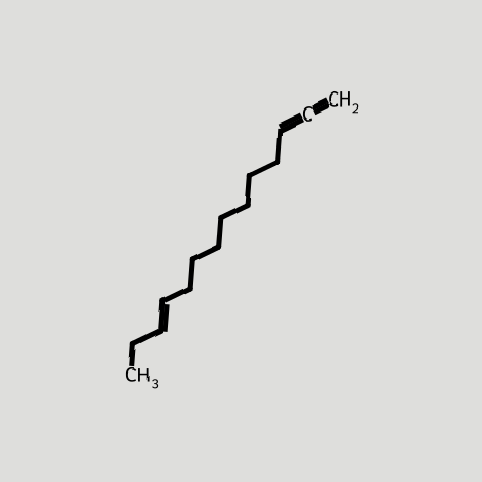 C=C=CCCCCCCCC=CCC